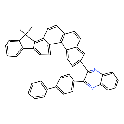 CC1(C)c2ccccc2-c2ccc3c(ccc4ccc5cc(-c6nc7ccccc7nc6-c6ccc(-c7ccccc7)cc6)ccc5c43)c21